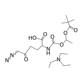 CC(OC(=O)NC(CCC(=O)C=[N+]=[N-])C(=O)O)OC(=O)C(C)(C)C.CCN(CC)CC